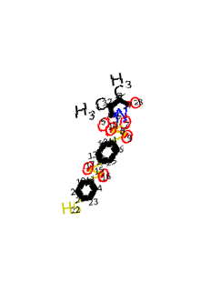 CC1=C(C)C(=O)N(OS(=O)(=O)c2ccc(S(=O)(=O)c3ccc(S)cc3)cc2)C1=O